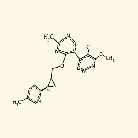 COc1nncc(-c2cnc(C)nc2OCC2C[C@H]2c2ccc(C)cn2)c1Cl